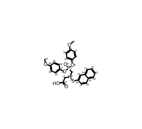 COc1ccc(OP(=O)(CN(CC(=O)O)Sc2ccc3ccccc3c2)Oc2ccc(OC)cc2)cc1